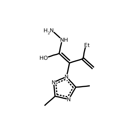 C=C(CC)/C(=C(/O)NN)n1nc(C)nc1C